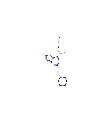 CCC(/N=N/CCO)c1nc(SCc2ccccc2)nc2nc(N)sc12